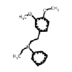 CCN(CCc1ccc(OC)c(OC)c1)c1ccccc1